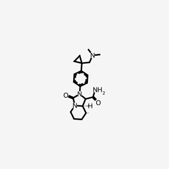 CN(C)CC1(c2ccc(N3C(=O)N4CCC[CH][C@@H]4C3C(N)=O)cc2)CC1